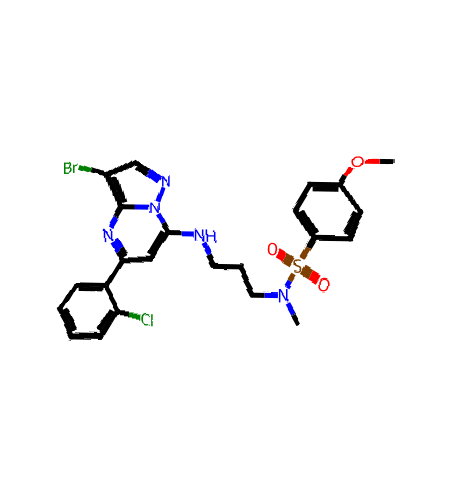 COc1ccc(S(=O)(=O)N(C)CCCNc2cc(-c3ccccc3Cl)nc3c(Br)cnn23)cc1